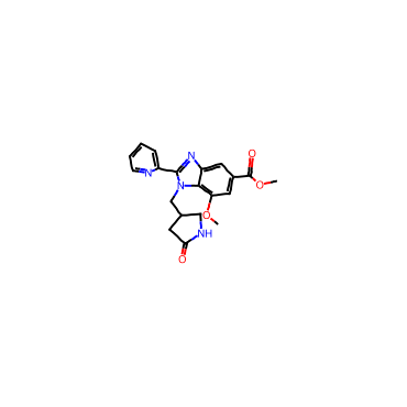 COC(=O)c1cc(OC)c2c(c1)nc(-c1ccccn1)n2CC1CNC(=O)C1